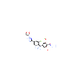 COc1cc(-c2c3c(C(F)F)cc(-c4cnn([C@@H]5CCOC5)c4)cc3nn2C)cc(OC(F)F)c1C(N)=O